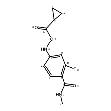 CNC(=O)c1ccc(NOC(=O)C2CC2)cc1F